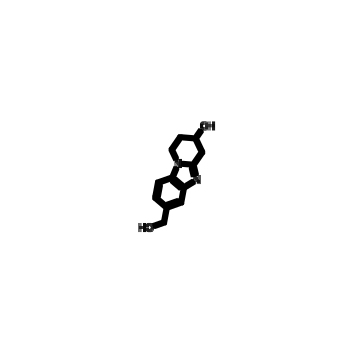 OCc1ccc2c(c1)nc1n2CCC(O)C1